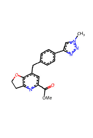 COC(=O)c1cc(Cc2ccc(-c3cn(C)nn3)cc2)c2c(n1)CCO2